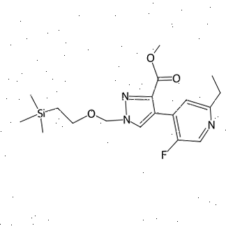 CCc1cc(-c2cn(COCC[Si](C)(C)C)nc2C(=O)OC)c(F)cn1